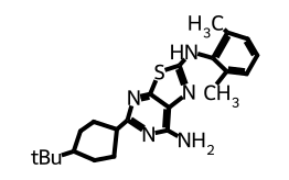 Cc1cccc(C)c1Nc1nc2c(N)nc(C3CCC(C(C)(C)C)CC3)nc2s1